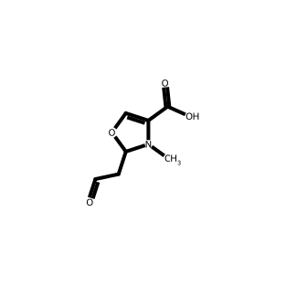 CN1C(C(=O)O)=COC1CC=O